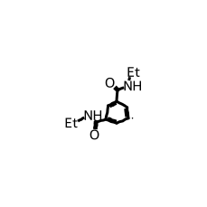 CCNC(=O)c1c[c]cc(C(=O)NCC)c1